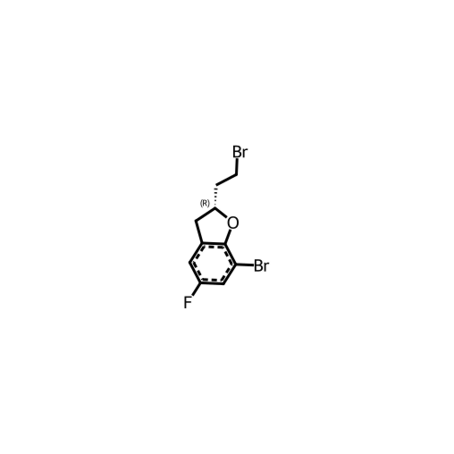 Fc1cc(Br)c2c(c1)C[C@H](CCBr)O2